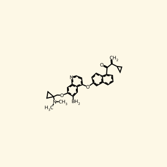 Bc1cc2c(Oc3ccc4c(C(=O)C(=C)C5CC5)cccc4c3)ccnc2cc1OCC1(N(C)C)CC1